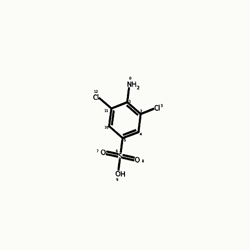 Nc1c(Cl)cc(S(=O)(=O)O)cc1Cl